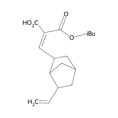 C=CC1CC2CC(C=C(C(=O)O)C(=O)OC(C)CC)C1C2